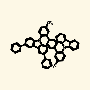 FC(F)(F)c1ccc(-n2c3ccccc3c3ccccc32)c(-c2ccc(-c3cc(C(F)(F)F)ccc3-n3c4ccc(-c5ccccc5)cc4c4cc(-c5ccccc5)ccc43)cc2)c1